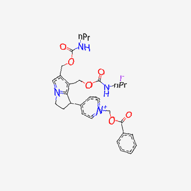 CCCNC(=O)OCc1cn2c(c1COC(=O)NCCC)C(c1cc[n+](COC(=O)c3ccccc3)cc1)CC2.[I-]